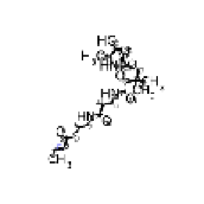 C/C=C/C(=O)SCCNC(=O)CCNC(=O)[C@@H]1OP(=O)(N[C@@H](C)C(=O)O)OCC1(C)C